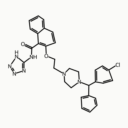 O=C(Nc1nnn[nH]1)c1c(OCCN2CCN(C(c3ccccc3)c3ccc(Cl)cc3)CC2)ccc2ccccc12